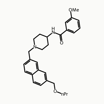 CCCOCc1ccc2ccc(CN3CCC(NC(=O)c4cccc(OC)c4)CC3)cc2c1